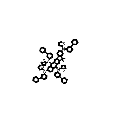 CC1(C)c2cc(N(c3cccc(-c4ccccc4)c3)c3cccs3)ccc2-c2cc3c(N(c4cccc(-c5ccccc5)c4)c4cccs4)c4cc(N(c5cccc(-c6ccccc6)c5)c5cccs5)ccc4c(N(c4cccc(-c5ccccc5)c4)c4cccs4)c3cc21